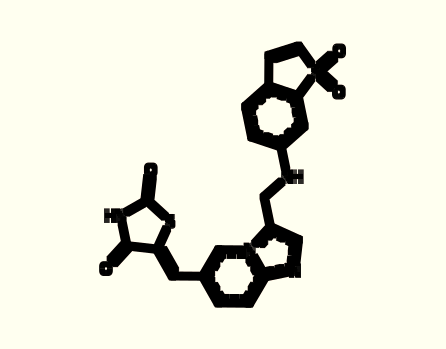 O=C1NC(=O)C(=Cc2ccc3ncc(CNc4ccc5c(c4)S(=O)(=O)C=C5)n3c2)S1